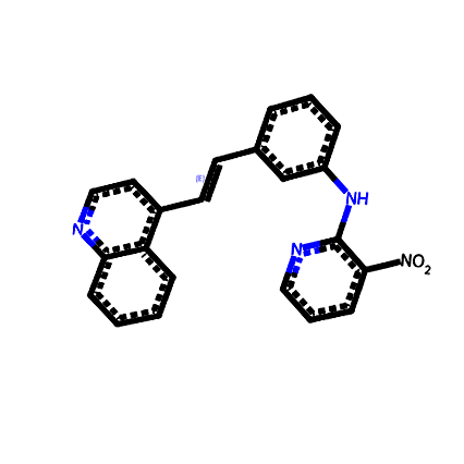 O=[N+]([O-])c1cccnc1Nc1cccc(/C=C/c2ccnc3ccccc23)c1